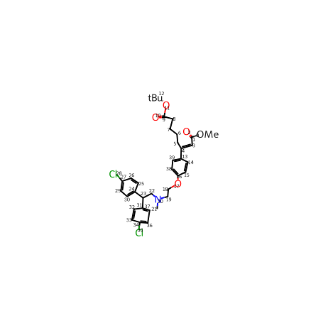 COC(=O)/C=C(\CCCCC(=O)OC(C)(C)C)c1ccc(OCCN(C)CC(c2ccc(Cl)cc2)c2ccc(Cl)cc2)cc1